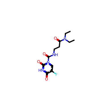 CCN(CC)C(=O)CCNC(=O)n1cc(F)c(=O)[nH]c1=O